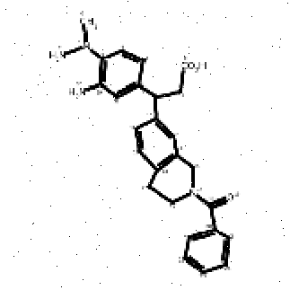 CN(N)c1ccc(C(CC(=O)O)c2ccc3c(c2)CN(C(=O)c2ccccc2)CC3)cc1N